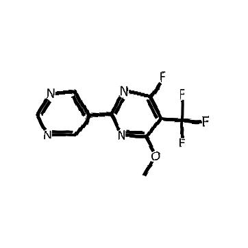 COc1nc(-c2cncnc2)nc(F)c1C(F)(F)F